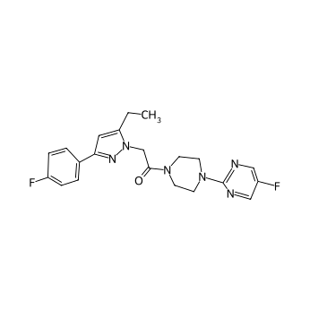 CCc1cc(-c2ccc(F)cc2)nn1CC(=O)N1CCN(c2ncc(F)cn2)CC1